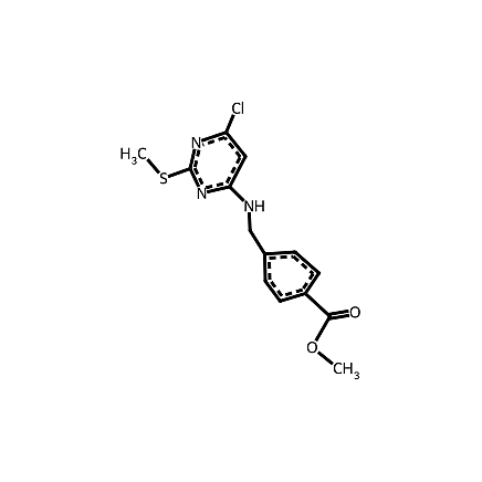 COC(=O)c1ccc(CNc2cc(Cl)nc(SC)n2)cc1